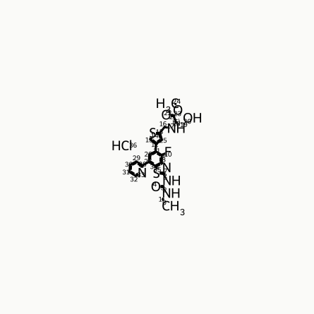 CCNC(=O)Nc1nc2c(F)c(-c3csc(CN[C@@H](CO)C(=O)OC)c3)cc(-c3ccccn3)c2s1.Cl